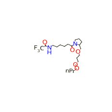 CCCOOCCCOCC1CCCN1C(=O)CCCCCNC(=O)C(F)(F)F